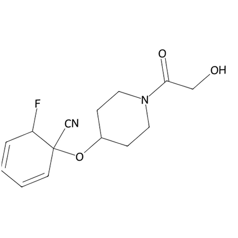 N#CC1(OC2CCN(C(=O)CO)CC2)C=CC=CC1F